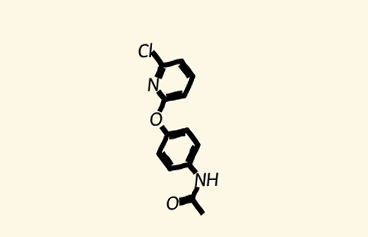 CC(=O)Nc1ccc(Oc2cccc(Cl)n2)cc1